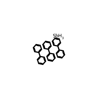 [SbH3].c1ccc(-c2ccccc2)cc1.c1ccc(-c2ccccc2)cc1.c1ccc(-c2ccccc2)cc1